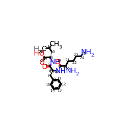 CC(C)C[C@H](NC(=O)[C@H](Cc1ccccc1)NC(=O)[C@@H](N)CCCCN)C(=O)O